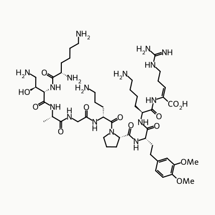 COc1ccc(CC[C@H](NC(=O)[C@@H]2CCCN2C(=O)[C@@H](CCCN)NC(=O)CNC(=O)[C@H](C)NC(=O)[C@@H](NC(=O)[C@@H](N)CCCCN)[C@@H](O)CN)C(=O)N[C@@H](CCCCN)C(=O)N/C(=C\CCNC(=N)N)C(=O)O)cc1OC